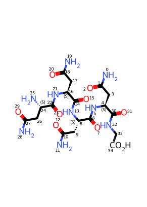 NC(=O)C[C@H](NC(=O)[C@H](CC(N)=O)NC(=O)[C@H](CC(N)=O)NC(=O)[C@@H](N)CC(N)=O)C(=O)NCC(=O)O